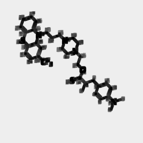 CC(Cc1ccc(N(C)C)cc1)C(=S)OCCN1CCN(CCCN2c3ccccc3Sc3ccc(C(F)(F)F)cc32)CC1